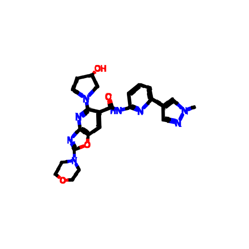 Cn1cc(-c2cccc(NC(=O)c3cc4oc(N5CCOCC5)nc4nc3N3CC[C@@H](O)C3)n2)cn1